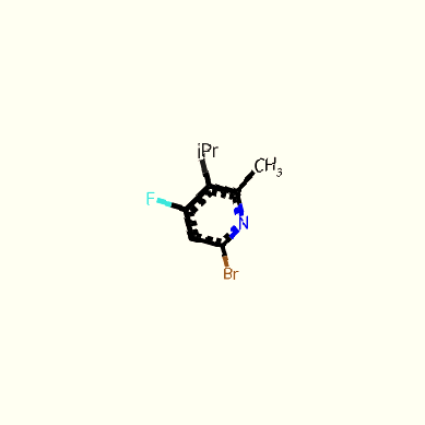 Cc1nc(Br)cc(F)c1C(C)C